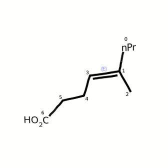 CCC/C(C)=C/CCC(=O)O